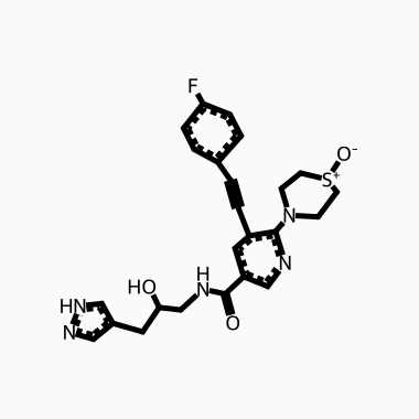 O=C(NCC(O)Cc1cn[nH]c1)c1cnc(N2CC[S+]([O-])CC2)c(C#Cc2ccc(F)cc2)c1